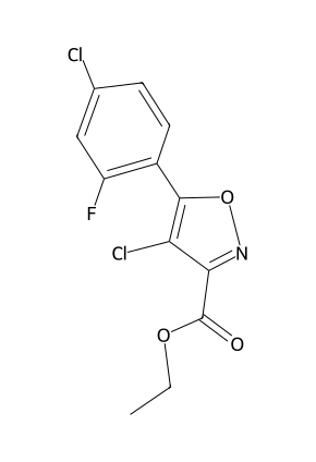 CCOC(=O)c1noc(-c2ccc(Cl)cc2F)c1Cl